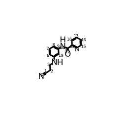 N#CCCNc1cccc(NC(=O)c2ccccc2)c1